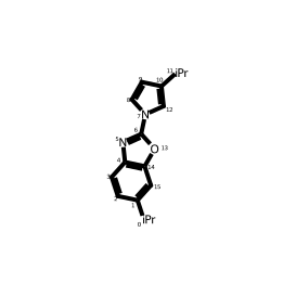 CC(C)c1ccc2nc(-n3ccc(C(C)C)c3)oc2c1